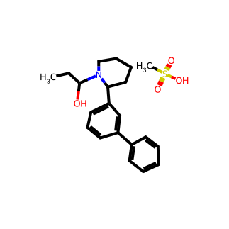 CCC(O)N1CCCCC1c1cccc(-c2ccccc2)c1.CS(=O)(=O)O